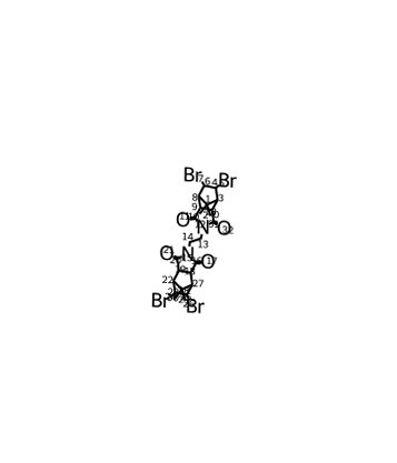 CC1(C)C2C(Br)C(Br)C1C1C(=O)N(CCN3C(=O)C4C(C3=O)C3C(Br)C(Br)C4C3(C)C)C(=O)C12